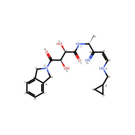 C[C@@H](NC(=O)[C@H](O)[C@@H](O)C(=O)N1Cc2ccccc2C1)C(=N)/C=C\NCC1CC1